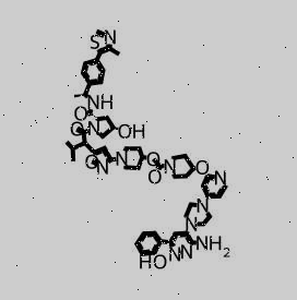 Cc1ncsc1-c1ccc([C@H](C)NC(=O)[C@@H]2C[C@@H](O)CN2C(=O)C(c2cc(N3CCC(OC(=O)N4CCC(Oc5cc(N6CCN(c7cc(-c8ccccc8O)nnc7N)CC6)ccn5)CC4)CC3)no2)C(C)C)cc1